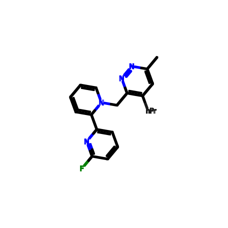 CCCc1cc(C)nnc1CN1C=CC=C=C1c1cccc(F)n1